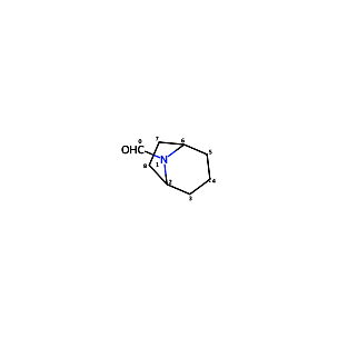 O=CN1C2C[CH]CC1CC2